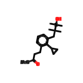 COC(=O)CCc1cccc(CC(C)(C)[Si](C)(C)O)c1C1CC1